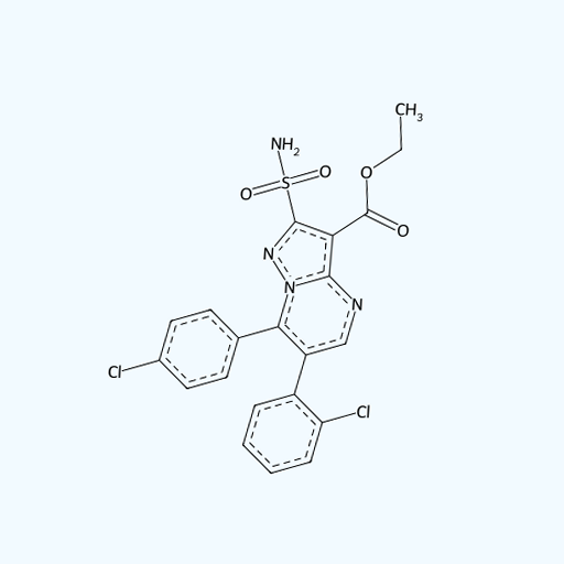 CCOC(=O)c1c(S(N)(=O)=O)nn2c(-c3ccc(Cl)cc3)c(-c3ccccc3Cl)cnc12